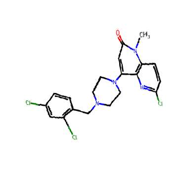 Cn1c(=O)cc(N2CCN(Cc3ccc(Cl)cc3Cl)CC2)c2nc(Cl)ccc21